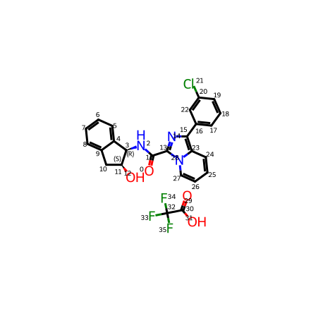 O=C(N[C@@H]1c2ccccc2C[C@@H]1O)c1nc(-c2cccc(Cl)c2)c2ccccn12.O=C(O)C(F)(F)F